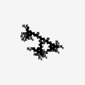 CCCc1cc(CCC(=O)OCC(COC(=O)CCc2cc(CCC)c(O)c(C(C)(C)C)c2)OC(=O)CCc2cc(CCC)c(O)c(C(C)(C)C)c2)cc(C(C)(C)C)c1O